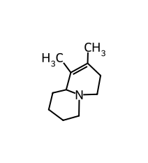 CC1=C(C)C2CCCCN2CC1